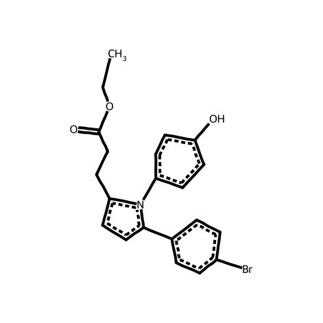 CCOC(=O)CCc1ccc(-c2ccc(Br)cc2)n1-c1ccc(O)cc1